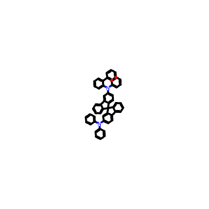 c1ccc(-c2ccccc2N(c2ccccc2)c2ccc3c(c2)-c2ccccc2C32c3ccccc3-c3ccc(N(c4ccccc4)c4ccccc4)cc32)cc1